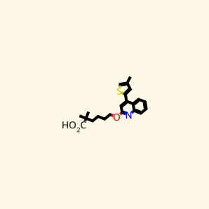 Cc1csc(-c2cc(OCCCCC(C)(C)C(=O)O)nc3ccccc23)c1